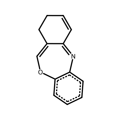 C1=CC2=Nc3ccccc3OC=C2CC1